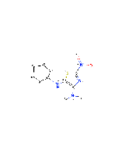 CN(C)c1nc([N+](=O)[O-])sc1NC1CCCCC1